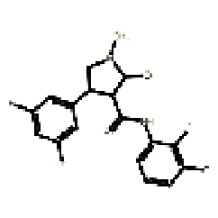 CN1CC(c2cc(F)cc(F)c2)C(C(=O)Nc2cccc(F)c2F)C1O